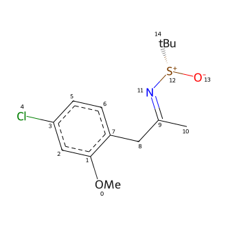 COc1cc(Cl)ccc1CC(C)=N[S@@+]([O-])C(C)(C)C